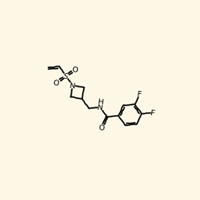 C=CS(=O)(=O)N1CC(CNC(=O)c2ccc(F)c(F)c2)C1